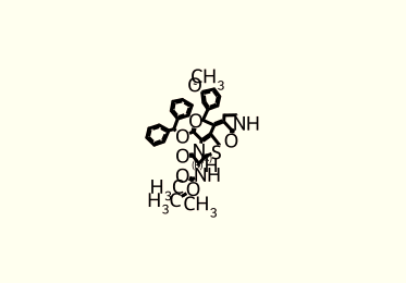 COc1cccc(CC(=C2CCNC2=O)C2=C(C(=O)OC(c3ccccc3)c3ccccc3)N3C(=O)[C@@H](NC(=O)OC(C)(C)C)[C@H]3SC2)c1